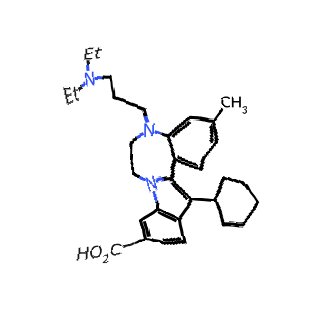 CCN(CC)CCCN1CCn2c(c(C3CCCCC3)c3ccc(C(=O)O)cc32)-c2ccc(C)cc21